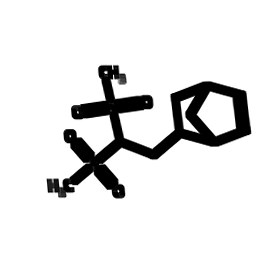 CS(=O)(=O)C(CC1CC2C=CC1C2)S(C)(=O)=O